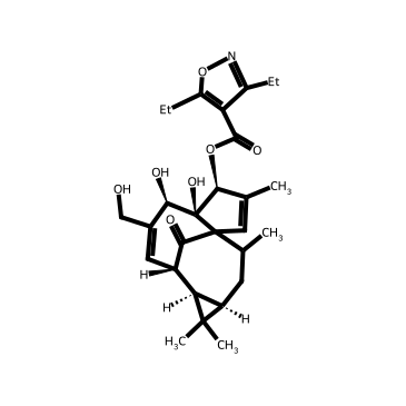 CCc1noc(CC)c1C(=O)O[C@H]1C(C)=CC23C(=O)[C@@H](C=C(CO)[C@@H](O)[C@]12O)[C@H]1[C@@H](CC3C)C1(C)C